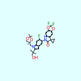 CC1(C)OC[C@H](Cn2c(C(C)(C)CO)cc3cc(NC(=O)C4(c5ccc6c(c5)OC(F)(F)O6)CC4)c(F)cc32)O1